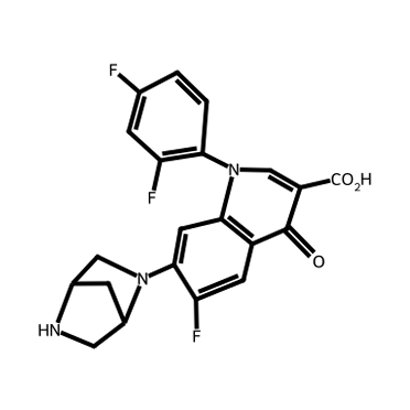 O=C(O)c1cn(-c2ccc(F)cc2F)c2cc(N3CC4CC3CN4)c(F)cc2c1=O